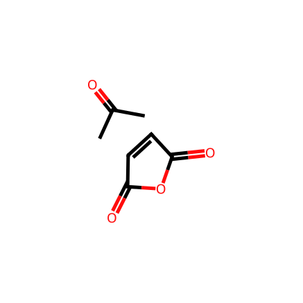 CC(C)=O.O=C1C=CC(=O)O1